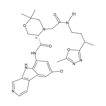 CCN(CCC(C)c1nnc(C)o1)C(=O)CN1CC(C)(C)OC[C@H]1C(=O)Nc1cc(Cl)cc2c1[nH]c1cnccc12